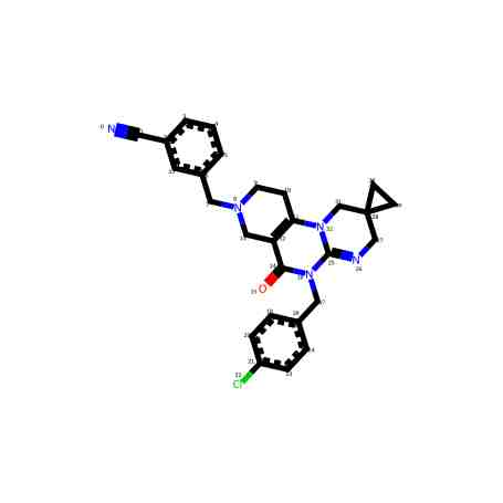 N#Cc1cccc(CN2CCC3=C(C2)C(=O)N(Cc2ccc(Cl)cc2)C2=NCC4(CC4)CN23)c1